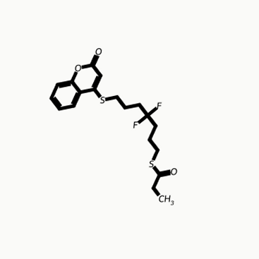 CCC(=O)SCCCC(F)(F)CCCSc1cc(=O)oc2ccccc12